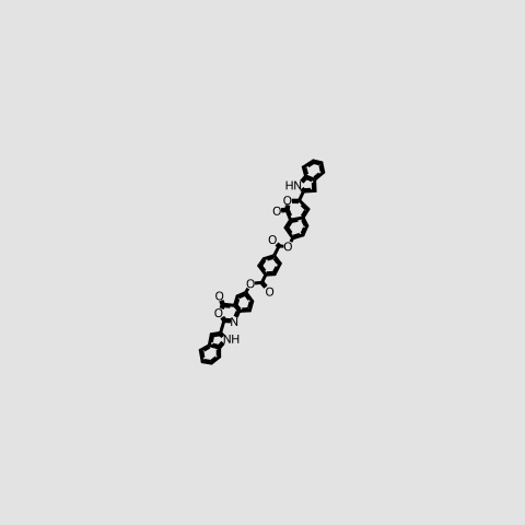 O=C(Oc1ccc2cc(-c3cc4ccccc4[nH]3)oc(=O)c2c1)c1ccc(C(=O)Oc2ccc3nc(-c4cc5ccccc5[nH]4)oc(=O)c3c2)cc1